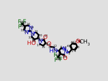 COc1ccc(Cn2ncc(NCCO[C@@H]3CCN([C@@H]4CCN(c5ncc(C(F)(F)F)cn5)C[C@H]4O)C3=O)c(C(F)(F)F)c2=O)cc1